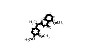 COc1ccc(C(C)c2cc(=O)c3c(OC)cccc3o2)cc1OC